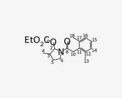 CCOC(=O)OC1C(C)CCN1C(=O)Cc1c(C)cccc1C